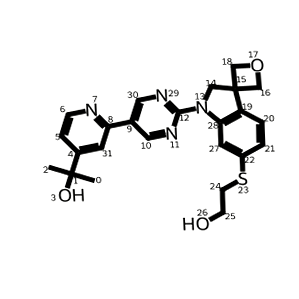 CC(C)(O)c1ccnc(-c2cnc(N3CC4(COC4)c4ccc(SCCO)cc43)nc2)c1